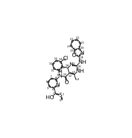 C=S=C(O)c1cccc(NC(=O)C2=C(C)NC(Nc3nc4ccccc4o3)=NC2c2ccccc2Cl)n1